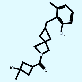 Cc1cccc(C(F)(F)F)c1CC1CC2(C1)CN(C(=O)C1CC(C)(O)C1)C2